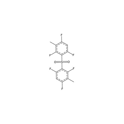 Cc1c(F)cc(F)c(S(=O)(=O)c2c(F)cc(F)c(C)c2F)c1F